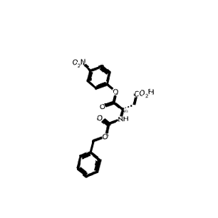 O=C(O)C[C@H](NC(=O)OCc1ccccc1)C(=O)Oc1ccc([N+](=O)[O-])cc1